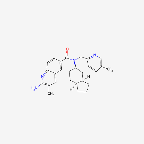 Cc1cc2cc(C(=O)N(Cc3ccc(C(F)(F)F)cn3)[C@@H]3CC[C@@H]4CCC[C@@H]4C3)ccc2nc1N